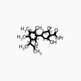 CCCC(=O)C1=C(O)CC(c2c(C)c(C)c(C)c3c2OC(C)C3C)CC1=O